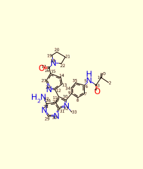 C=C(C)C(=O)Nc1ccc(-c2c(-c3ccc(C(=O)N4CCCC4)cn3)c3c(N)ncnc3n2C)cc1